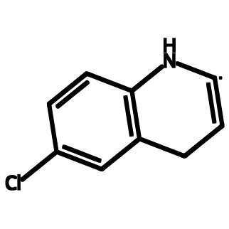 Clc1ccc2c(c1)CC=[C]N2